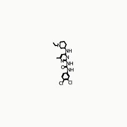 CCN1CCCC(Nc2cc(C)nc(NC(=O)Nc3ccc(Cl)c(Cl)c3)n2)C1